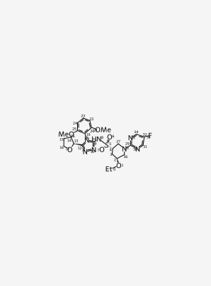 CCO[C@H]1C[C@H](S(=O)(=O)Nc2nnc([C@@H]3CCCO3)n2-c2c(OC)cccc2OC)CN(c2ncc(F)cn2)C1